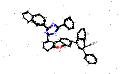 COc1c(-c2ccccc2)cc(-c2ccc3c4c(oc3c2)CCC=C4c2nc(-c3ccccc3)nc(-c3ccc4c(c3)CCC=C4)n2)c2ccccc12